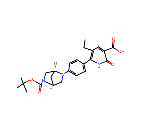 CCc1cc(C(=O)O)c(=O)[nH]c1-c1ccc(N2C[C@@H]3C[C@H]2CN3C(=O)OC(C)(C)C)cc1